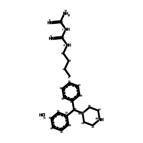 CCCCNC(=N)NC(=N)N.Cl.c1ccc(C(c2ccccc2)N2CCNCC2)cc1